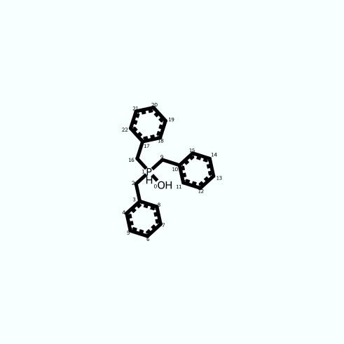 O[PH](Cc1ccccc1)(Cc1ccccc1)Cc1ccccc1